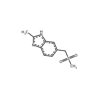 Cc1nc2ccc(CS(C)(=O)=O)cc2[nH]1